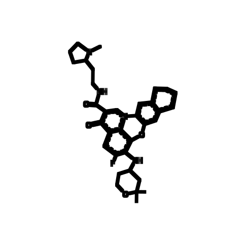 CN1CCCC1CCNC(=O)c1cn2c3c(c(NC4CCOC(C)(C)C4)c(F)cc3c1=O)Oc1cc3ccccc3cc1-2